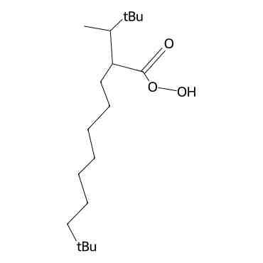 CC(C(CCCCCCCC(C)(C)C)C(=O)OO)C(C)(C)C